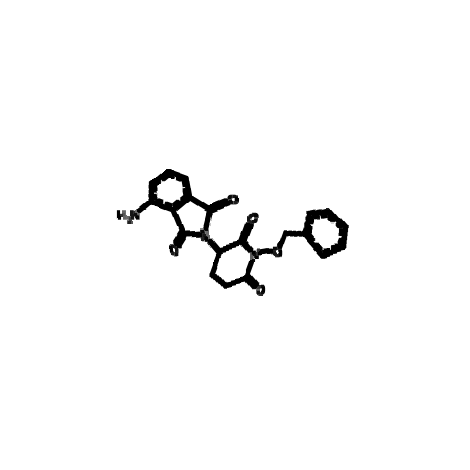 Nc1cccc2c1C(=O)N(C1CCC(=O)N(OCc3ccccc3)C1=O)C2=O